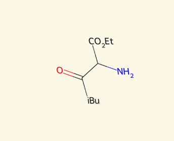 CCOC(=O)C(N)C(=O)C(C)CC